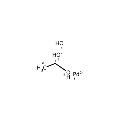 CCO.[OH-].[OH-].[Pd+2]